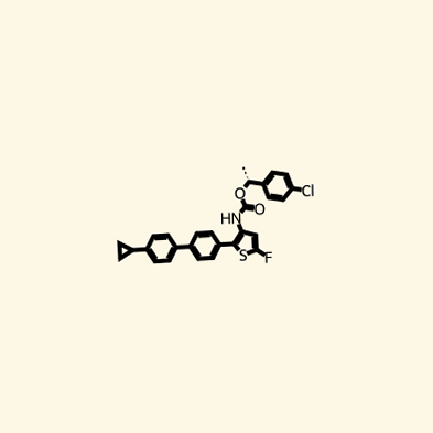 C[C@@H](OC(=O)Nc1cc(F)sc1-c1ccc(-c2ccc(C3CC3)cc2)cc1)c1ccc(Cl)cc1